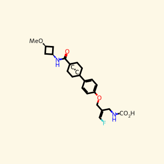 CO[C@H]1C[C@@H](NC(=O)C23CCC(c4ccc(OC/C(=C/F)CNC(=O)O)cc4)(CC2)CC3)C1